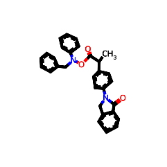 CC(C(=O)ON(Cc1ccccc1)c1ccccc1)c1ccc(N2Cc3ccccc3C2=O)cc1